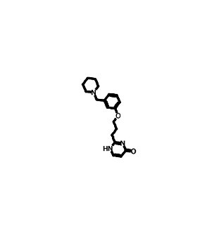 O=c1cc[nH]c(CCCOc2cccc(CN3CCCCC3)c2)n1